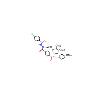 COc1ccc(CN(C(=O)c2ccc(C(=O)NNC(=O)c3ccc(Cl)cc3)cc2)c2cc(OC)c(OC)c(OC)c2)cc1